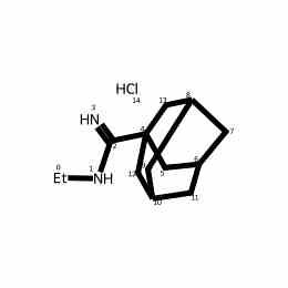 CCNC(=N)C12CC3CC(CC(C3)C1)C2.Cl